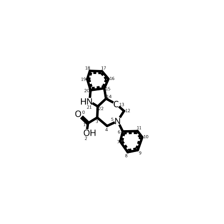 O=C(O)C1CN(c2ccccc2)CCC2c3ccccc3NC12